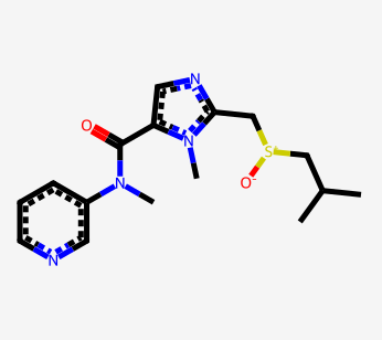 CC(C)C[S+]([O-])Cc1ncc(C(=O)N(C)c2cccnc2)n1C